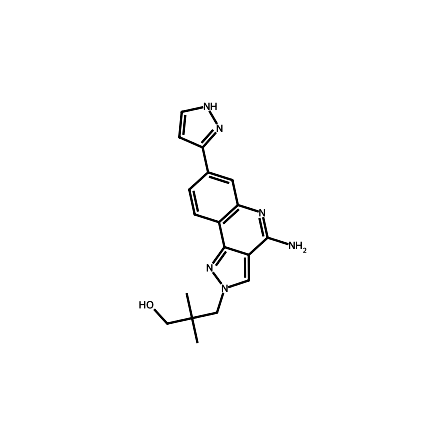 CC(C)(CO)Cn1cc2c(N)nc3cc(-c4cc[nH]n4)ccc3c2n1